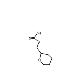 S=C(S)OCC1CCCCO1